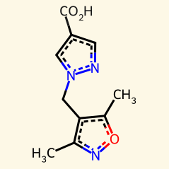 Cc1noc(C)c1Cn1cc(C(=O)O)cn1